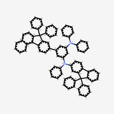 c1ccc(N(c2ccccc2)c2cc(-c3ccc4c(c3)C(c3ccccc3)(c3ccccc3)c3ccc5ccccc5c3-4)cc(N(c3ccccc3)c3ccc4c(c3)C(c3ccccc3)(c3ccccc3)c3ccccc3-4)c2)cc1